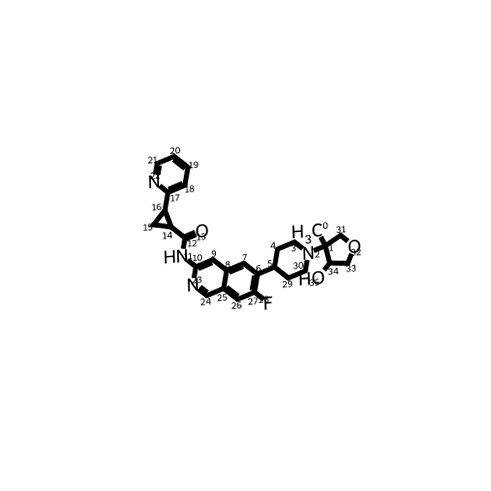 CC1(N2CCC(c3cc4cc(NC(=O)C5CC5c5ccccn5)ncc4cc3F)CC2)COCC1O